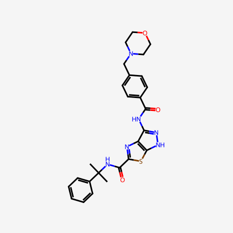 CC(C)(NC(=O)c1nc2c(NC(=O)c3ccc(CN4CCOCC4)cc3)n[nH]c2s1)c1ccccc1